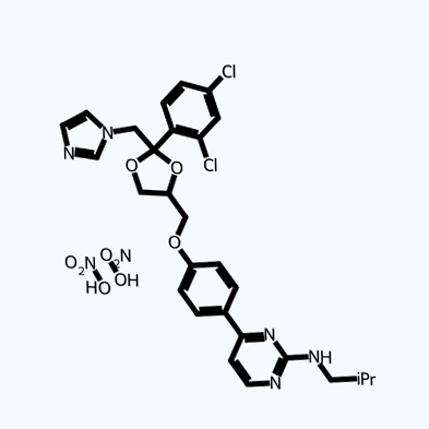 CC(C)CNc1nccc(-c2ccc(OCC3COC(Cn4ccnc4)(c4ccc(Cl)cc4Cl)O3)cc2)n1.O=[N+]([O-])O.O=[N+]([O-])O